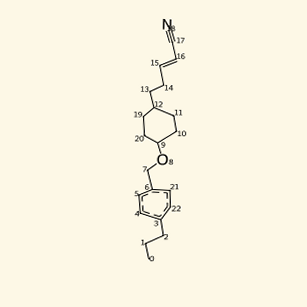 CCCc1ccc(COC2CCC(CCC=CC#N)CC2)cc1